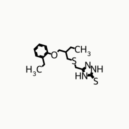 CCc1ccccc1OCC(CC)CSCc1n[nH]c(=S)[nH]1